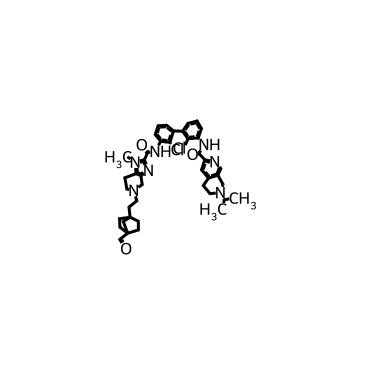 CC(C)N1CCc2cc(C(=O)Nc3cccc(-c4cccc(NC(=O)c5nc6c(n5C)CCN(CCC57CCC(C=O)(CC5)C7)C6)c4Cl)c3Cl)ncc2C1